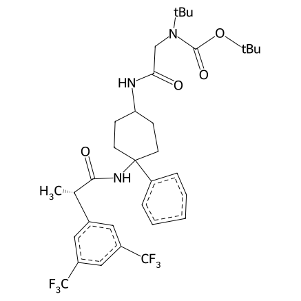 C[C@H](C(=O)NC1(c2ccccc2)CCC(NC(=O)CN(C(=O)OC(C)(C)C)C(C)(C)C)CC1)c1cc(C(F)(F)F)cc(C(F)(F)F)c1